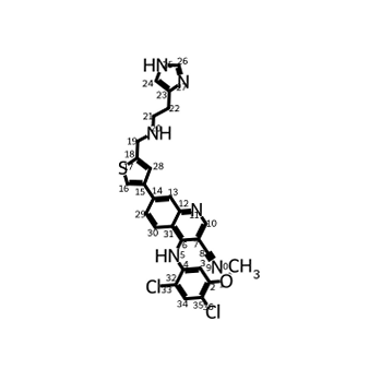 COc1cc(Nc2c(C#N)cnc3cc(-c4csc(CNCCc5c[nH]cn5)c4)ccc23)c(Cl)cc1Cl